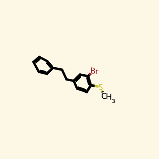 CSc1ccc(CCc2ccccc2)cc1Br